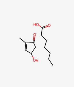 CC1=CC(O)CC1=O.CCCCCCC(=O)O